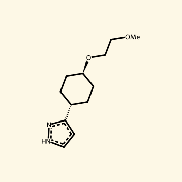 COCCO[C@H]1CC[C@H](c2cc[nH]n2)CC1